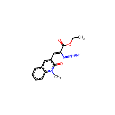 CCOC(=O)/C(=C/c1cc2ccccc2n(C)c1=O)N=[N+]=[N-]